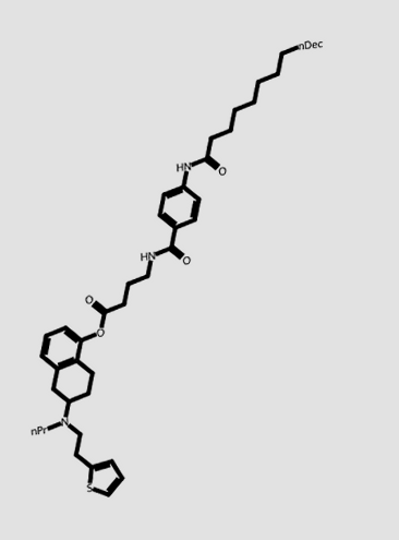 CCCCCCCCCCCCCCCCCC(=O)Nc1ccc(C(=O)NCCCC(=O)Oc2cccc3c2CCC(N(CCC)CCc2cccs2)C3)cc1